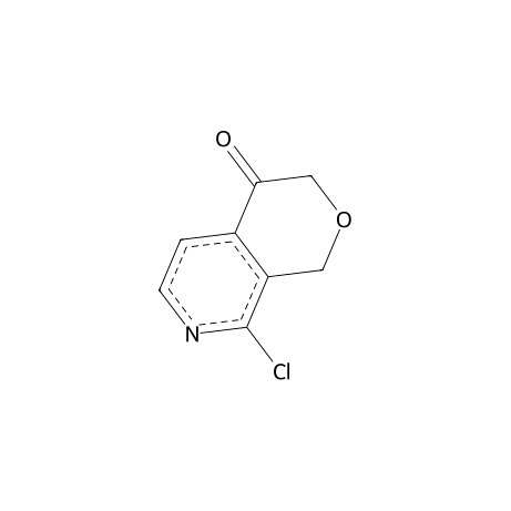 O=C1COCc2c1ccnc2Cl